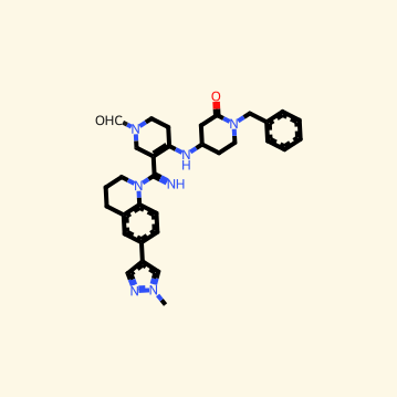 Cn1cc(-c2ccc3c(c2)CCCN3C(=N)C2=C(NC3CCN(Cc4ccccc4)C(=O)C3)CCN(C=O)C2)cn1